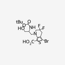 CC(C)(C)OC(=O)NC(CO)CN1CC(F)(F)Cc2c(Br)sc(C(=O)O)c21